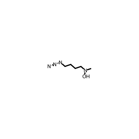 CN(O)CCCCN=[N+]=[N-]